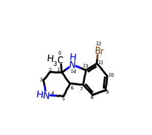 CC12CCNCC1c1cccc(Br)c1N2